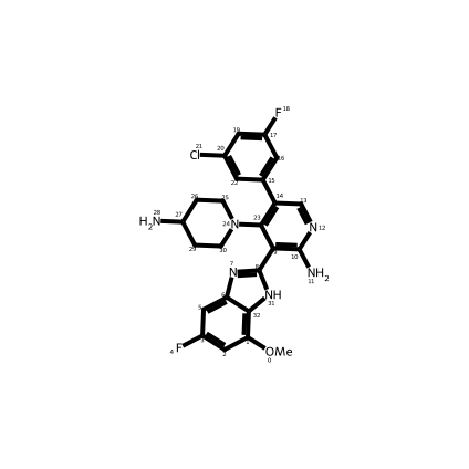 COc1cc(F)cc2nc(-c3c(N)ncc(-c4cc(F)cc(Cl)c4)c3N3CCC(N)CC3)[nH]c12